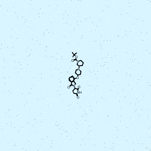 CC(C)(C)OC(=O)N1CCCC(N2CCC(Oc3cccc4c3CN(C3CCC(=O)NC3=O)C4=O)CC2)C1